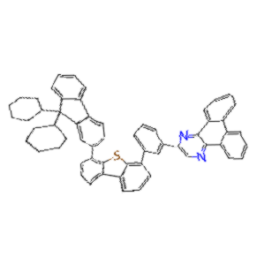 c1cc(-c2cnc3c4ccccc4c4ccccc4c3n2)cc(-c2cccc3c2sc2c(-c4ccc5c(c4)C(C4CCCCC4)(C4CCCCC4)c4ccccc4-5)cccc23)c1